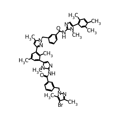 Cc1cc(-c2cc(C)n(Cc3cccc(C(=O)Nc4ncc(-c5cc(C)c(C)cc5C)n4C)c3)n2)c(C)c(-c2cnc(NC(=O)c3cccc(Cn4nc(C)c(Br)c4C)c3)n2C)c1